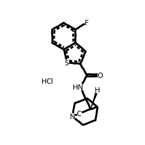 Cl.O=C(N[C@H]1CN2CCC1CC2)c1cc2c(F)cccc2s1